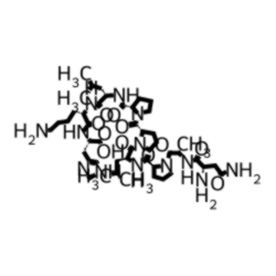 CC(C)C[C@H](NC(=O)[C@@H]1CCCN1C(=O)[C@@H]1CCCN1C(=O)[C@H](CC(C)C)NC(=O)[C@@H]1CCCN1C(=O)[C@H](C)NC(=O)[C@@H](N)CC(N)=O)C(=O)N[C@@H](CCCCN)C(=O)N[C@@H](Cc1c[nH]cn1)C(=O)O